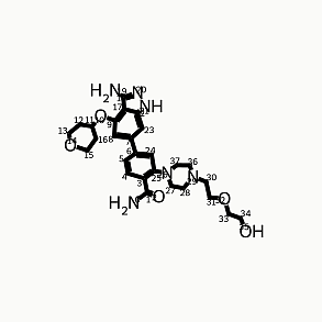 NC(=O)c1ccc(-c2cc(OC3CCOCC3)c3c(N)n[nH]c3c2)cc1N1CCN(CCOCCO)CC1